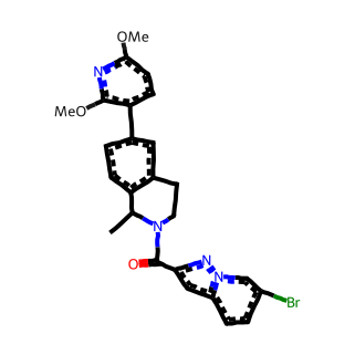 COc1ccc(-c2ccc3c(c2)CCN(C(=O)c2cc4ccc(Br)cn4n2)C3C)c(OC)n1